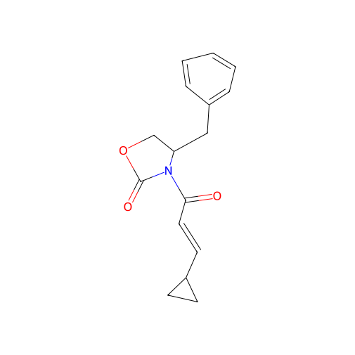 O=C(C=CC1CC1)N1C(=O)OCC1Cc1ccccc1